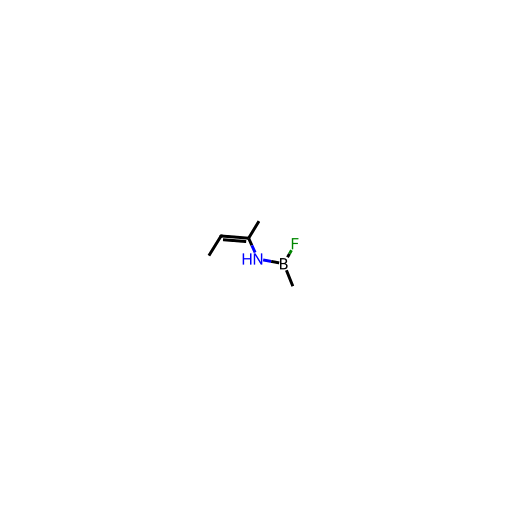 C/C=C(/C)NB(C)F